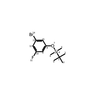 CC(C)(C)[Si](C)(C)Oc1cc(F)cc(Br)c1